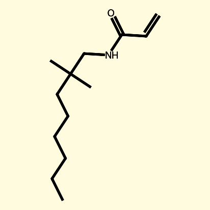 C=CC(=O)NCC(C)(C)CCCCCC